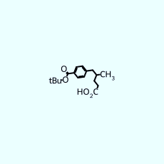 CC(CCC(=O)O)Cc1ccc(C(=O)OC(C)(C)C)cc1